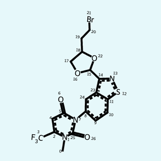 Cn1c(C(F)(F)F)cc(=O)n(-c2ccc3snc(C4OCC(CCBr)O4)c3c2)c1=O